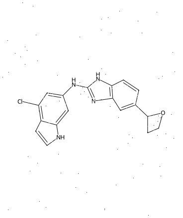 Clc1cc(Nc2nc3cc(C4CCO4)ccc3[nH]2)cc2[nH]ccc12